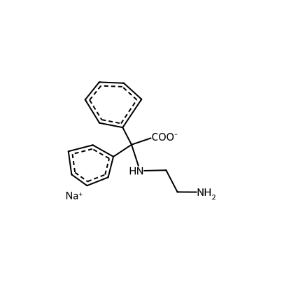 NCCNC(C(=O)[O-])(c1ccccc1)c1ccccc1.[Na+]